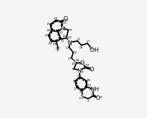 O=C1CSc2ccc(N3C[C@@H](CCCN(CCCO)[C@@H]4Cn5c(=O)ccc6ccc(F)c4c65)OC3=O)cc2N1